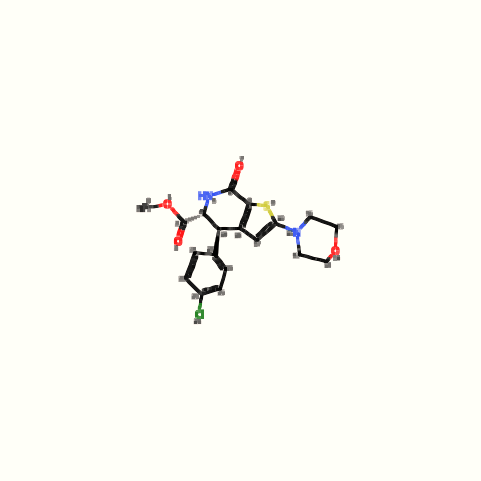 CCCOC(=O)[C@@H]1NC(=O)c2sc(N3CCOCC3)cc2[C@H]1c1ccc(Cl)cc1